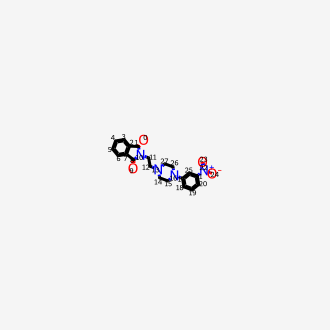 O=C1c2ccccc2C(=O)N1CCN1CCN(c2cccc([N+](=O)[O-])c2)CC1